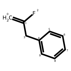 C=C(F)Cc1[c]cccc1